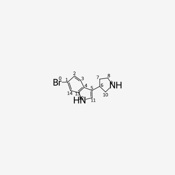 Brc1ccc2c(C3CCNC3)c[nH]c2c1